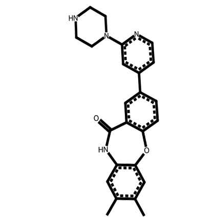 Cc1cc2c(cc1C)Oc1ccc(-c3ccnc(N4CCNCC4)c3)cc1C(=O)N2